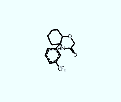 O=C1COC2CCCCC2(c2cccc(C(F)(F)F)c2)N1